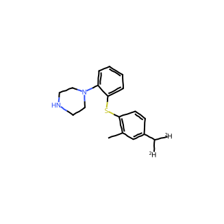 [2H]C([2H])c1ccc(Sc2ccccc2N2CCNCC2)c(C)c1